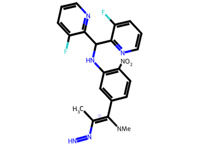 CN/C(=C(/C)N=N)c1ccc([N+](=O)[O-])c(NC(c2ncccc2F)c2ncccc2F)c1